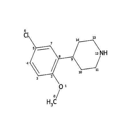 COc1ccc(Cl)cc1C1CCNCC1